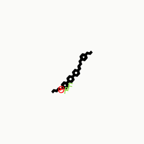 CCCCOc1ccc(C2CCC(C3CCC(/C=C/CCc4ccc(CCC)cc4)CC3)CC2)c(F)c1F